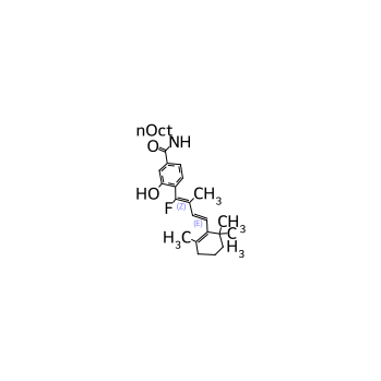 CCCCCCCCNC(=O)c1ccc(/C(F)=C(C)/C=C/C2=C(C)CCCC2(C)C)c(O)c1